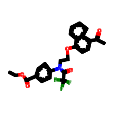 CCOC(=O)c1ccc(N(CCOc2ccc(C(C)=O)c3ccccc23)C(=O)C(F)(F)F)cc1